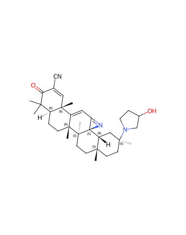 CC1(C)C(=O)C(C#N)=C[C@]2(C)C3=CC4=N[C@]45[C@@H]4C[C@@](C)(N6CCC(O)C6)CC[C@]4(C)CC[C@@]5(C)[C@]3(C)CC[C@@H]12